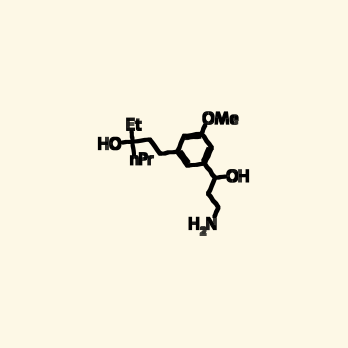 CCCC(O)(CC)CCc1cc(OC)cc(C(O)CCN)c1